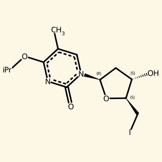 Cc1cn([C@H]2C[C@H](O)[C@@H](CI)O2)c(=O)nc1OC(C)C